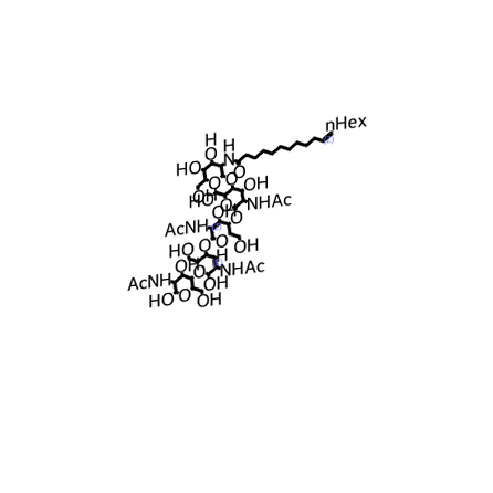 CCCCCC/C=C\CCCCCCCCCC(=O)NC1C(OC2C(CO)OC(OC(CCO)/C(O)=C(/NC(C)=O)C(O)OC(/C=C(/NC(C)=O)C(O)OC3C(CO)OC(O)C(NC(C)=O)C3O)CCO)C(NC(C)=O)C2O)OC(CO)C(O)C1O